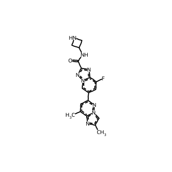 Cc1cn2nc(-c3cc(F)c4nc(C(=O)NC5CNC5)nn4c3)cc(C)c2n1